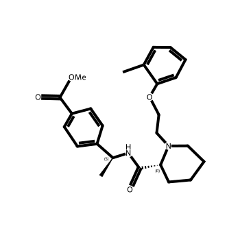 COC(=O)c1ccc([C@H](C)NC(=O)[C@H]2CCCCN2CCOc2ccccc2C)cc1